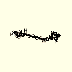 O=C1CCC(N2C(=O)c3ccc(NCCOCCOCCOCCOCCC(=O)N4CCC(c5cccc(-c6cnc7ccc(N8CCC[C@H]8c8cccc(F)c8)nn67)n5)CC4)cc3C2=O)C(=O)N1